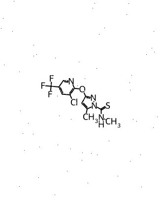 CNC(=S)n1nc(Oc2ncc(C(F)(F)F)cc2Cl)cc1C